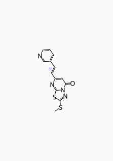 CSc1nn2c(=O)cc(/C=C/c3cccnc3)nc2s1